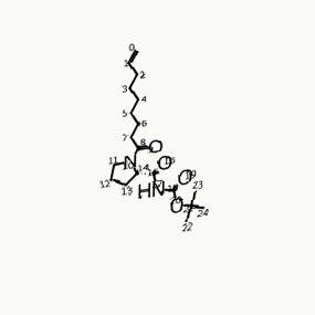 C=CCCCCCCC(=O)N1CCC[C@H]1C(=O)NC(=O)OC(C)(C)C